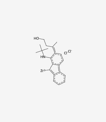 CC(CCO)=c1ccc2c(c1NC(C)(C)C)[C]([Zr+2])=c1ccccc1=2.[Cl-].[Cl-]